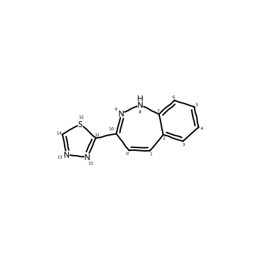 C1=Cc2ccccc2NN=C1c1nncs1